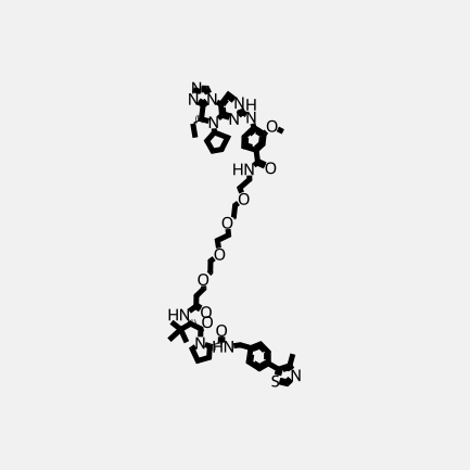 CC[C@@H]1c2nncn2-c2cnc(Nc3ccc(C(=O)NCCOCCOCCOCCOCCC(=O)N[C@H](C(=O)N4CCC[C@H]4C(=O)NCc4ccc(-c5scnc5C)cc4)C(C)(C)C)cc3OC)nc2N1C1CCCC1